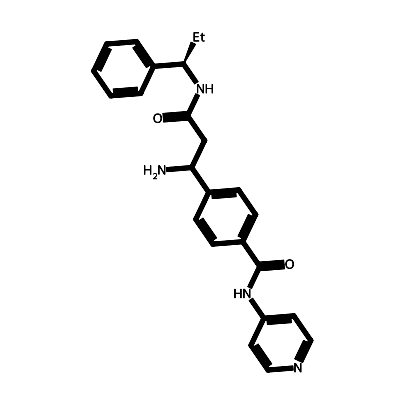 CC[C@@H](NC(=O)CC(N)c1ccc(C(=O)Nc2ccncc2)cc1)c1ccccc1